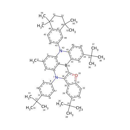 Cc1cc2c3c(c1)N(c1ccc(C(C)(C)C)cc1)c1c(oc4ccc(C(C)(C)C)cc14)B3c1cc(C(C)(C)C)ccc1N2c1ccc2c(c1)C(C)(C)CCC2(C)C